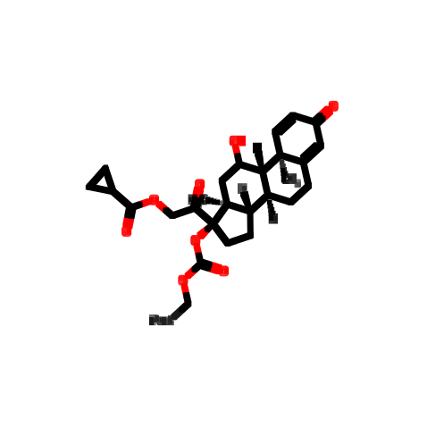 CCCC(C)COC(=O)O[C@]1(C(=O)COC(=O)C2CC2)CC[C@H]2[C@@H]3CCC4=CC(=O)C=C[C@]4(C)[C@H]3C(O)C[C@@]21C